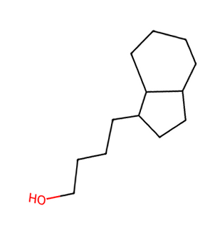 OCCCCC1CCC2CCCCC12